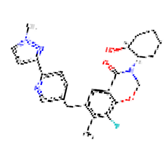 Cc1c(Cc2ccc(-c3ccn(C)n3)nc2)cc2c(c1F)OCN([C@H]1CCCC[C@@H]1O)C2=O